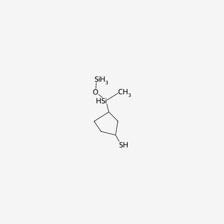 C[SiH](O[SiH3])C1CCC(S)C1